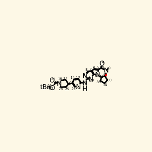 CN(C)C(=O)c1cc2cnc(Nc3ccc(C4CCN(C(=O)OC(C)(C)C)CC4)cn3)nc2n1C1CCCC1